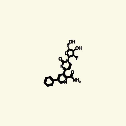 NC(=O)c1ncc(-c2ccccc2)cc1-c1ccn([C@H]2O[C@H](CO)[C@@H](O)[C@H]2F)c(=O)n1